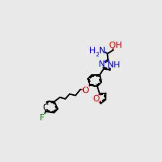 NC(CO)c1nc(-c2ccc(OCCCCCc3ccc(F)cc3)c(-c3ccco3)c2)c[nH]1